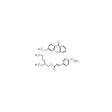 CCCCC(CC)COC(=O)/C=C/c1ccc(OC)cc1.COc1ccc(C(=O)c2ccccc2)c(O)c1